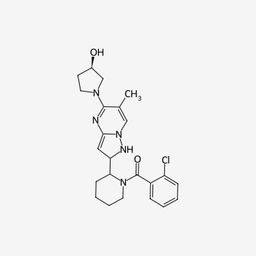 CC1=CN2NC(C3CCCCN3C(=O)c3ccccc3Cl)C=C2N=C1N1CC[C@@H](O)C1